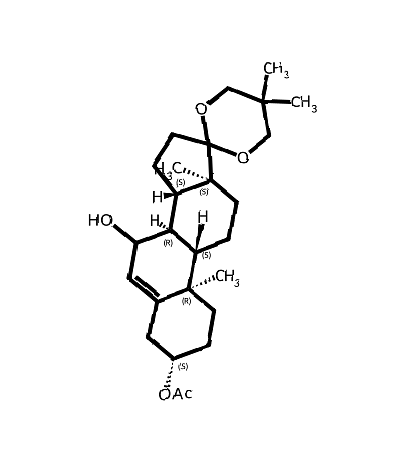 CC(=O)O[C@H]1CC[C@@]2(C)C(=CC(O)[C@@H]3[C@@H]2CC[C@@]2(C)[C@H]3CCC23OCC(C)(C)CO3)C1